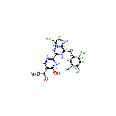 COC(=O)c1cnc(-c2cn3c(F)cnc3c(Cc3cc(F)c(C)cc3F)n2)nc1O